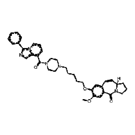 COc1cc2c(cc1OCCCCCN1CCN(C(=O)c3cccn4c(-c5ccccc5)ncc34)CC1)C=C[C@@H]1CCCN1C2=O